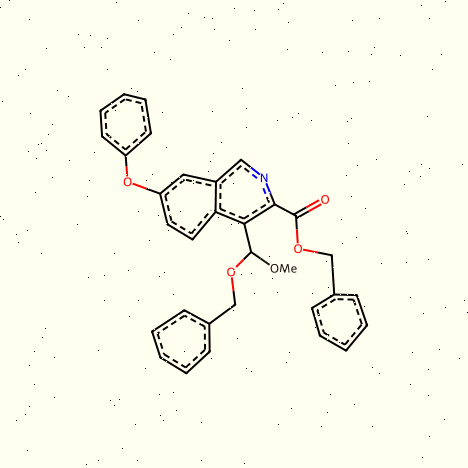 COC(OCc1ccccc1)c1c(C(=O)OCc2ccccc2)ncc2cc(Oc3ccccc3)ccc12